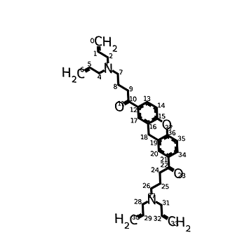 C=CCN(CC=C)CCCC(=O)c1ccc2c(c1)Cc1cc(C(=O)CCCN(CC=C)CC=C)ccc1O2